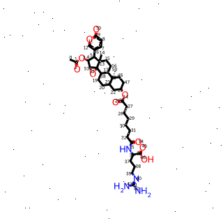 CC(=O)OC1C(c2ccc(=O)oc2)C2(C)CCC3C(CCC4CC(OC(=O)CCCCCCC(=O)NC(CCCN=C(N)N)C(=O)O)CC[C@@]43C)C23OC13